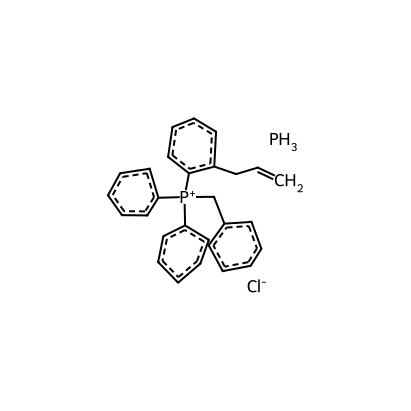 C=CCc1ccccc1[P+](Cc1ccccc1)(c1ccccc1)c1ccccc1.P.[Cl-]